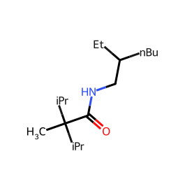 CCCCC(CC)CNC(=O)C(C)(C(C)C)C(C)C